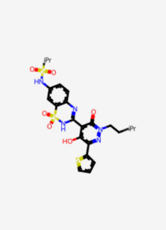 CC(C)CCn1nc(-c2cccs2)c(O)c(C2=Nc3ccc(NS(=O)(=O)C(C)C)cc3S(=O)(=O)N2)c1=O